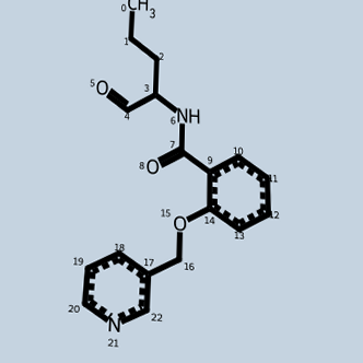 CCCC(C=O)NC(=O)c1ccccc1OCc1cccnc1